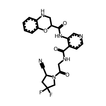 N#CC1CC(F)(F)CN1C(=O)CNC(=O)c1ccncc1NC(=O)C1CNc2ccccc2O1